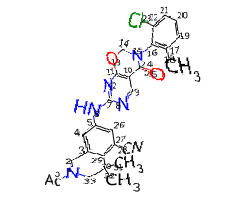 CC(=O)N1Cc2cc(Nc3ncc4c(n3)OCN(c3c(C)cccc3Cl)C4=O)cc(C#N)c2C(C)(C)C1